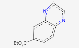 CCOC(=O)c1ccc2nc[c]nc2c1